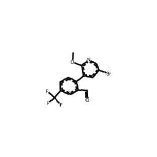 COc1ncc(Br)cc1-c1ccc(C(F)(F)F)cc1C=O